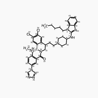 CCCCCn1c(NC2CCN(CCC(CN(C)C(=O)c3cc(-n4cnnn4)ccc3OC)c3ccc(Cl)c(Cl)c3)CC2)nc2ccccc21